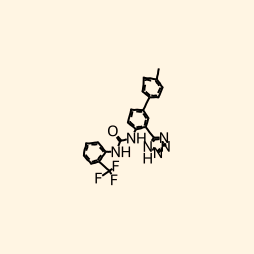 Cc1ccc(-c2ccc(NC(=O)Nc3ccccc3C(F)(F)F)c(-c3nnn[nH]3)c2)cc1